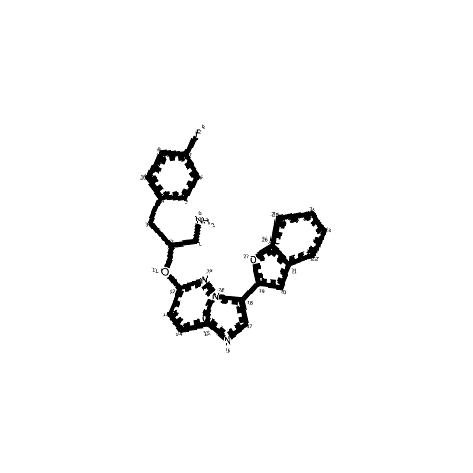 NCC(Cc1ccc(F)cc1)Oc1ccc2ncc(-c3cc4ccccc4o3)n2n1